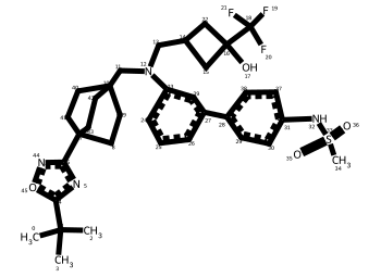 CC(C)(C)c1nc(C23CCC(CN(CC4CC(O)(C(F)(F)F)C4)c4cccc(-c5ccc(NS(C)(=O)=O)cc5)c4)(CC2)CC3)no1